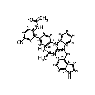 CC(=O)Nc1ccc(Cl)cc1-c1ccc(-n2c(=NC(C)C)n(Cc3cccc4[nH]ccc34)c3ccccc32)cc1